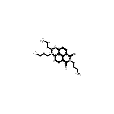 CCCCn1c(=O)c2ccc3nc(CCC)n(CCCC)c4ccc(c1=O)c2c34